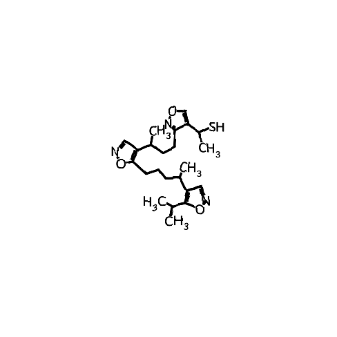 CC(C)c1oncc1C(C)CCCc1oncc1C(C)CCc1nocc1C(C)S